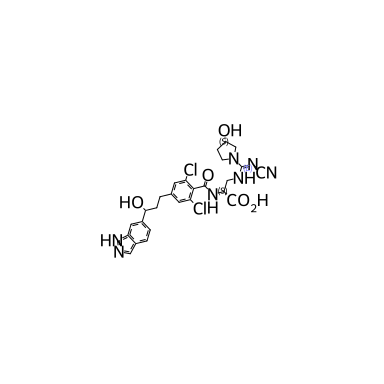 N#C/N=C(\NC[C@H](NC(=O)c1c(Cl)cc(CCC(O)c2ccc3cn[nH]c3c2)cc1Cl)C(=O)O)N1CC[C@H](O)C1